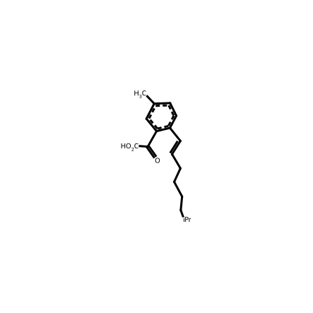 Cc1ccc(C=CCCCCC(C)C)c(C(=O)C(=O)O)c1